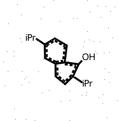 CC(C)c1ccc2c(O)c(C(C)C)ccc2c1